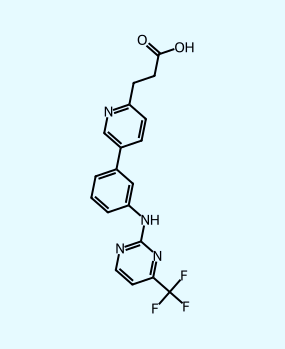 O=C(O)CCc1ccc(-c2cccc(Nc3nccc(C(F)(F)F)n3)c2)cn1